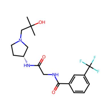 CC(C)(O)CN1CC[C@@H](NC(=O)CNC(=O)c2cccc(C(F)(F)F)c2)C1